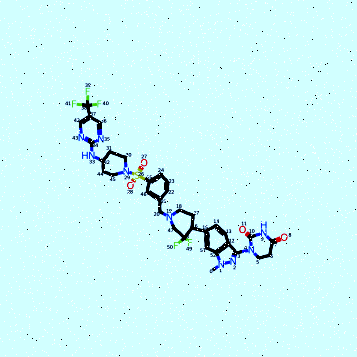 Cn1nc(N2CCC(=O)NC2=O)c2ccc(C3CCN(Cc4cccc(S(=O)(=O)N5CCC(Nc6ncc(C(F)(F)F)cn6)CC5)c4)CC3(F)F)cc21